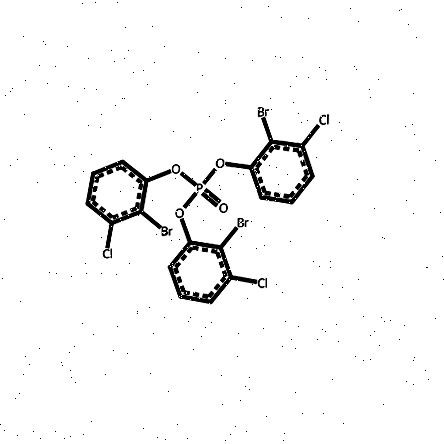 O=P(Oc1cccc(Cl)c1Br)(Oc1cccc(Cl)c1Br)Oc1cccc(Cl)c1Br